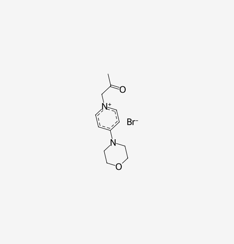 CC(=O)C[n+]1ccc(N2CCOCC2)cc1.[Br-]